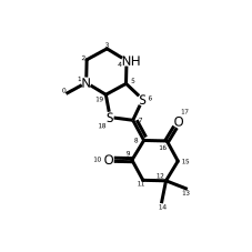 CN1CCNC2SC(=C3C(=O)CC(C)(C)CC3=O)SC21